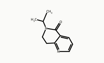 CC(C)N1CCc2ncccc2C1=O